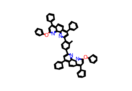 Cc1cc(-c2cc(-c3ccccc3)c3ccc4c(-c5ccccc5)cc(Oc5ccccc5)nc4c3n2)ccc1-c1cc(-c2ccccc2)c2ccc3c(-c4ccccc4)cc(Oc4ccccc4)nc3c2n1